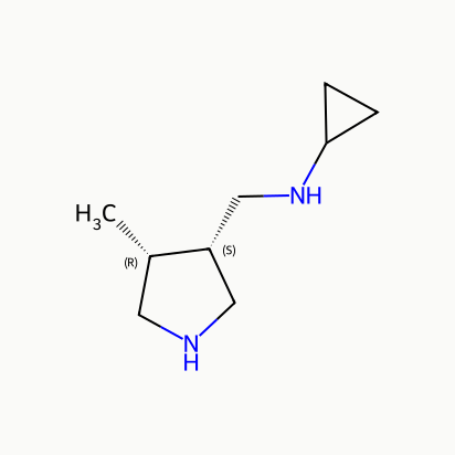 C[C@H]1CNC[C@H]1CNC1CC1